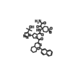 CC(C)(O)c1cnnn1[C@H]1C[C@@H](C(=O)NC2(C(=O)C(N)=O)CCS(=O)(=O)CC2)N(C(=O)/C(CC2CCCCC2)=N/C(=O)c2ccc3ccccc3c2)C1